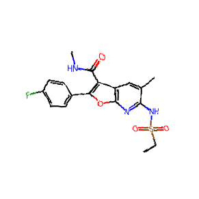 CCS(=O)(=O)Nc1nc2oc(-c3ccc(F)cc3)c(C(=O)NC)c2cc1C